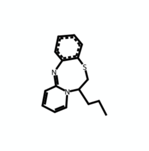 CCCC1CSc2ccccc2N=C2C=CC=CN21